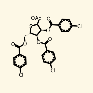 CC(=O)OC1S[C@@H](COC(=O)c2ccc(Cl)cc2)[C@H](OC(=O)c2ccc(Cl)cc2)[C@@H]1OC(=O)c1ccc(Cl)cc1